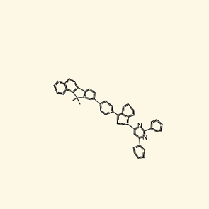 CC1(C)c2cc(-c3ccc(-c4ccc(-c5cc(-c6ccccc6)nc(-c6ccccc6)n5)c5ccccc45)cc3)ccc2-c2ccc3ccccc3c21